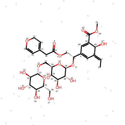 C/C=C1\C=C([C@@H](COC(=O)CC2=CCOC=C2)O[C@@H]2O[C@H](CO[C@@H]3O[C@H](CO)[C@@H](O)[C@H](O)[C@H]3O)[C@@H](O)[C@H](O)[C@H]2O)C=C(C(=O)OC)[C@H]1O